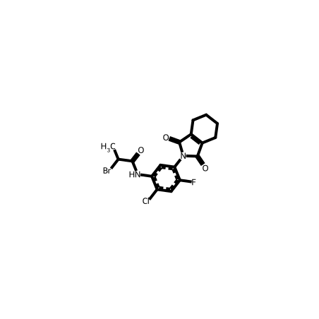 CC(Br)C(=O)Nc1cc(N2C(=O)C3=C(CCCC3)C2=O)c(F)cc1Cl